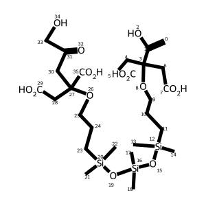 C=C(O)C(CC(=O)O)(CC(=O)O)OCCC[Si](C)(C)O[Si](C)(C)O[Si](C)(C)CCCOC(CC(=O)O)(CC(=O)CO)C(=O)O